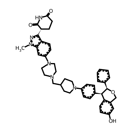 Cn1nc([C@H]2CCC(=O)NC2=O)c2ccc(N3CCN(CC4CCN(c5ccc([C@@H]6c7ccc(O)cc7CO[C@@H]6c6ccccc6)cc5)CC4)CC3)cc21